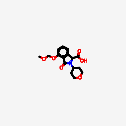 COCOc1cccc2c1C(=O)N(C1CCOCC1)C2C(=O)O